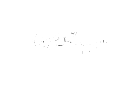 Cc1c(B2OC(C)(C)C(C)(C)O2)ccc2c1cnn2COCC[Si](C)(C)C